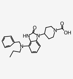 CCCN(Cc1ccccc1)c1cccc2c1[nH]c(=O)n2C1CCN(C(=O)O)CC1